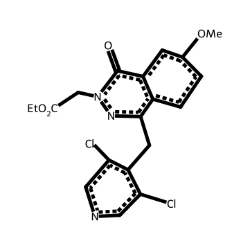 CCOC(=O)Cn1nc(Cc2c(Cl)cncc2Cl)c2ccc(OC)cc2c1=O